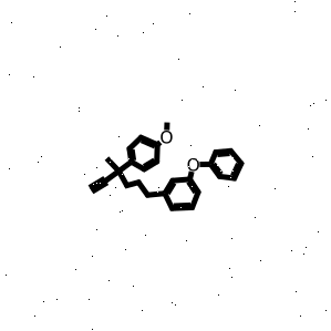 C#CC(C)(CCCc1cccc(Oc2ccccc2)c1)c1ccc(OC)cc1